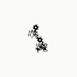 CNC(CN(N)COc1ccc(C[C@H](NC(=O)OC(C)(C)C)C(=O)OC(C)(C)C)cc1)c1ccccc1